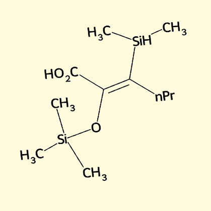 CCC/C(=C(\O[Si](C)(C)C)C(=O)O)[SiH](C)C